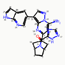 Nc1cc(C2CC3CCC(C2)N3C(=O)c2ncn[nH]2)nc2c(-c3cnc4[nH]ccc4c3)cnn12